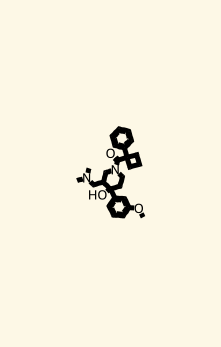 COc1cccc(C2(O)CCN(C(=O)C3(c4ccccc4)CCC3)CC2CN(C)C)c1